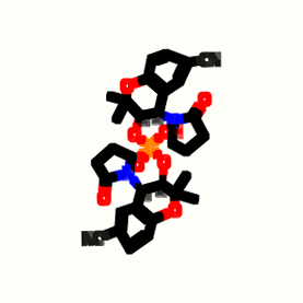 CC1(C)Oc2ccc(C#N)cc2[C@@H](N2CCCC2=O)[C@H]1OP(=O)(O)O[C@@H]1[C@H](N2CCCC2=O)c2cc(C#N)ccc2OC1(C)C